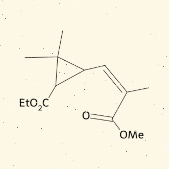 CCOC(=O)C1C(C=C(C)C(=O)OC)C1(C)C